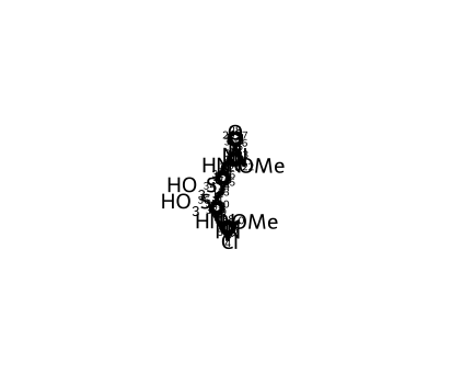 COc1nc(Cl)nc(Nc2ccc(C=Cc3ccc(Nc4nc(OC)nc(N5CCOCC5)n4)cc3S(=O)(=O)O)c(S(=O)(=O)O)c2)n1